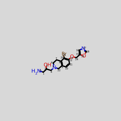 NCC(O)CN1CCc2c(ccc(OCc3cnco3)c2Br)C1